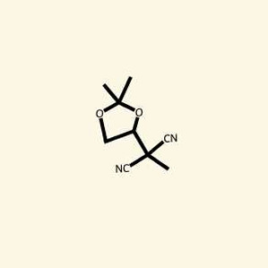 CC1(C)OCC(C(C)(C#N)C#N)O1